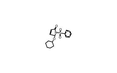 O=C1C=CC(OC2CCCCC2)N1S(=O)(=O)c1ccccc1